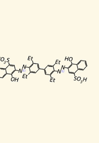 CCc1cc(-c2cc(CC)c(/N=N/c3cc(S(=O)(=O)O)c4ccccc4c3O)c(CC)c2)cc(CC)c1/N=N/c1cc(S(=O)(=O)O)c2ccccc2c1O